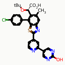 Cc1cc2nc(-c3ccnc(-c4cnc(O)nc4)c3)sc2c(-c2ccc(Cl)cc2)c1[C@H](OC(C)(C)C)C(=O)O